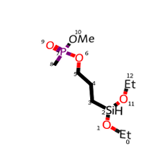 CCO[SiH](CCCOP(C)(=O)OC)OCC